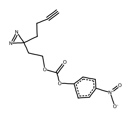 C#CCCC1(CCOC(=O)Oc2ccc([N+](=O)[O-])cc2)N=N1